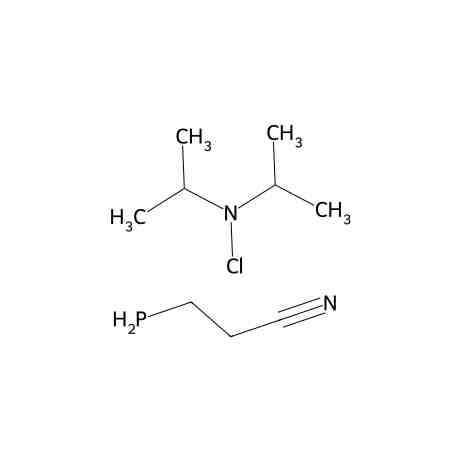 CC(C)N(Cl)C(C)C.N#CCCP